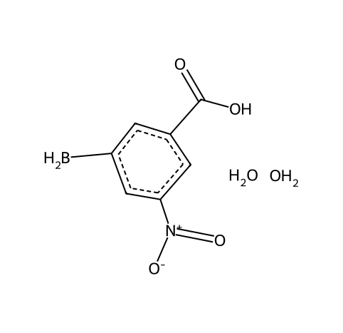 Bc1cc(C(=O)O)cc([N+](=O)[O-])c1.O.O